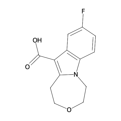 O=C(O)c1c2n(c3ccc(F)cc13)CCOCC2